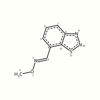 CON=Cc1cccc2nnsc12